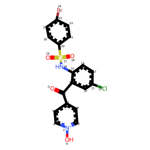 O=C(c1cc[n+](O)cc1)c1cc(Cl)ccc1NS(=O)(=O)c1ccc(Br)cc1